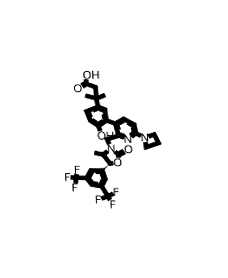 CC1[C@@H](c2cc(C(F)(F)F)cc(C(F)(F)F)c2)OC(=O)N1Cc1nc(N2CCC2)ccc1-c1cc(C(C)(C)CC(=O)O)ccc1O